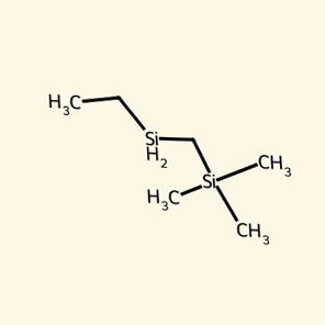 CC[SiH2]C[Si](C)(C)C